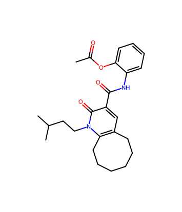 CC(=O)Oc1ccccc1NC(=O)c1cc2c(n(CCC(C)C)c1=O)CCCCCC2